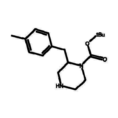 Cc1ccc(CC2CNCCN2C(=O)OC(C)(C)C)cc1